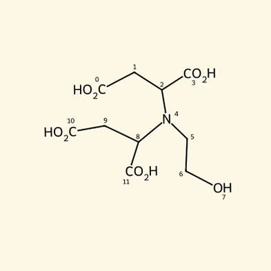 O=C(O)CC(C(=O)O)N(CCO)C(CC(=O)O)C(=O)O